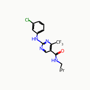 CC(C)CNC(=O)c1cnc(Nc2cccc(Cl)c2)nc1C(F)(F)F